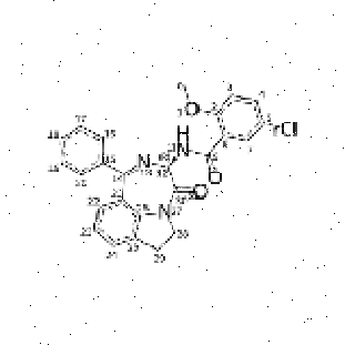 COc1ccc(Cl)cc1C(=O)N[C@@H]1N=C(c2ccccc2)c2cccc3c2N(CC3)C1=O